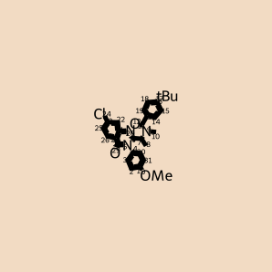 COc1ccc(-n2c(C(C)N(C)C(=O)c3ccc(C(C)(C)C)cc3)nc3cc(Cl)ccc3c2=O)cc1